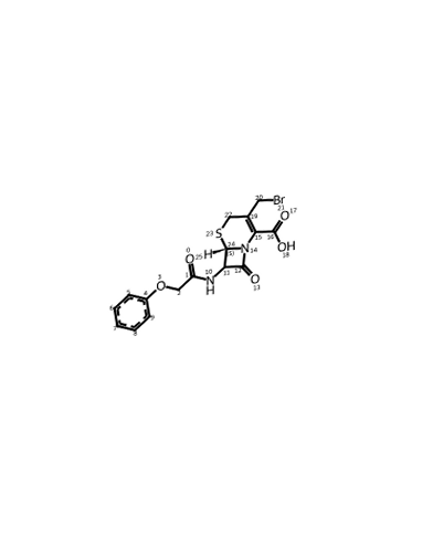 O=C(COc1ccccc1)NC1C(=O)N2C(C(=O)O)=C(CBr)CS[C@@H]12